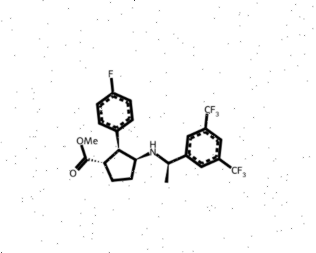 COC(=O)[C@H]1CC[C@H](N[C@H](C)c2cc(C(F)(F)F)cc(C(F)(F)F)c2)[C@@H]1c1ccc(F)cc1